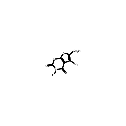 CCOC(=O)c1sc2[nH]c(=O)n(CC)c(=O)c2c1C(F)(F)F